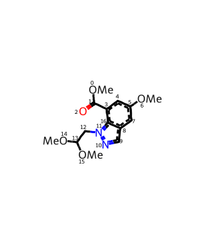 COC(=O)c1cc(OC)cc2cnn(CC(OC)OC)c12